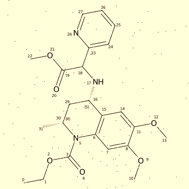 CCOC(=O)N1c2cc(OC)c(OC)cc2[C@@H](NC(C(=O)OC)c2ccccn2)C[C@H]1C